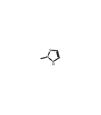 CN1N[C]=CS1